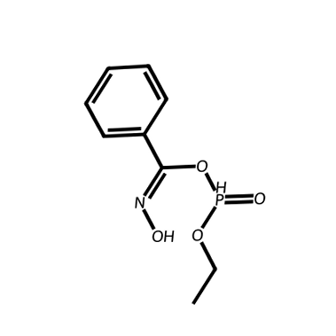 CCO[PH](=O)OC(=NO)c1ccccc1